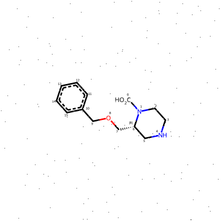 O=C(O)N1CCNC[C@@H]1COCc1ccccc1